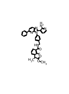 COC(=O)C(C)c1cccc(C(=O)NCc2ccc(-n3c(-c4cccnc4N)nc4ccc(-c5ccccc5)nc43)cc2)c1F